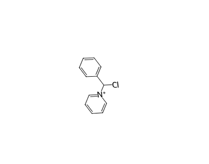 ClC(c1ccccc1)[n+]1ccccc1